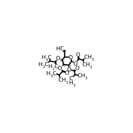 C#CC1O[C@@H](OC(=O)C(C)C)[C@@H](OC(=O)C(C)C)[C@H](OC(=O)C(C)C)[C@@H]1OC(=C)C(C)C